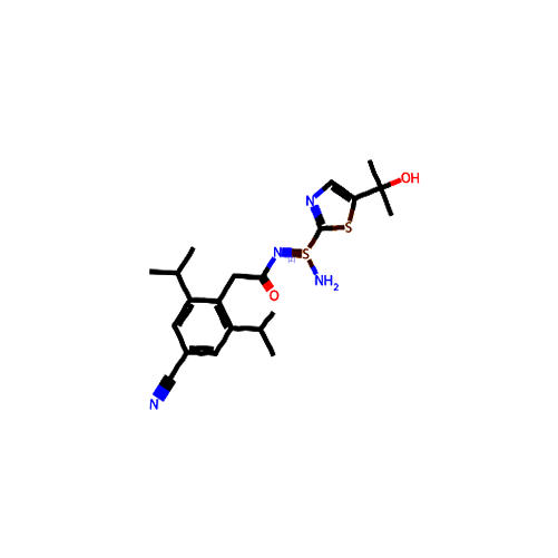 CC(C)c1cc(C#N)cc(C(C)C)c1CC(=O)/N=S(\N)c1ncc(C(C)(C)O)s1